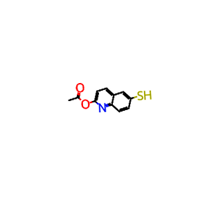 CC(=O)Oc1ccc2cc(S)ccc2n1